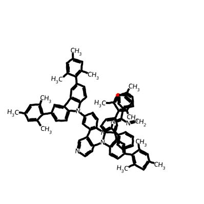 C=N/C(=N\C(=N/c1ccc(-n2c3ccc(-c4c(C)cc(C)cc4C)cc3c3cc(-c4c(C)cc(C)cc4C)ccc32)cc1-c1cnccc1-n1c2ccc(-c3c(C)cc(C)cc3C)cc2c2cc(-c3c(C)cc(C)cc3C)ccc21)c1ccccc1)c1ccccc1